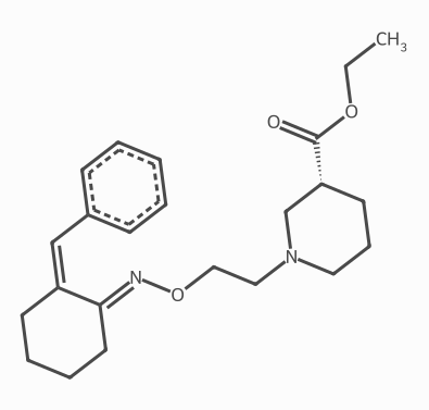 CCOC(=O)[C@@H]1CCCN(CCO/N=C2\CCCC\C2=C\c2ccccc2)C1